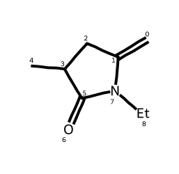 C=C1CC(C)C(=O)N1CC